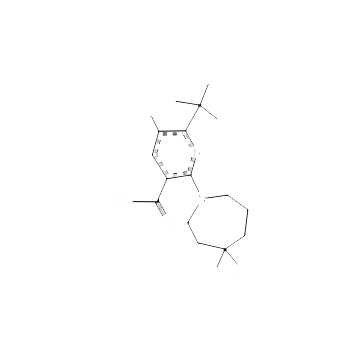 CC(C)(C)c1nc(N2CCCC(F)(F)CC2)c(C(=O)O)cc1Cl